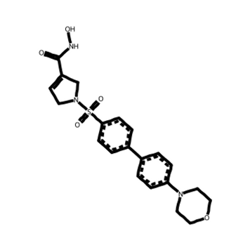 O=C(NO)C1=CCN(S(=O)(=O)c2ccc(-c3ccc(N4CCOCC4)cc3)cc2)C1